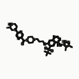 Cc1n[nH]c(Nc2ncnc3cc(OCCCN4CCN(C(=O)c5cnc(N6CCNC(C)C6)cn5)CC4)c(S(=O)(=O)C(C)(C)C)cc23)c1C